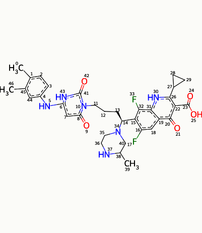 Cc1ccc(Nc2cc(=O)n(CCC[C@@H](c3c(F)cc4c(=O)c(C(=O)O)c(C5CC5)[nH]c4c3F)N3CCNC(C)C3)c(=O)[nH]2)cc1C